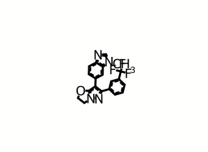 Cn1cnc2ccc(-c3c(-c4cccc(C(F)(F)F)c4)nn4c3OCC4)cc21